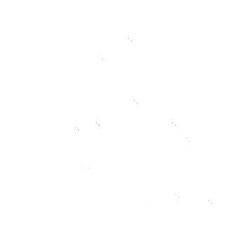 Cc1cccc2cc(C3c4nc[nH]c4CCN3C(=O)c3nnc(-c4cncn4C)o3)nn12